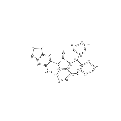 O=C1C(c2cc3c(cc2O)OCC3)c2cccc(Cl)c2N1C(c1ccccc1)c1ccccc1